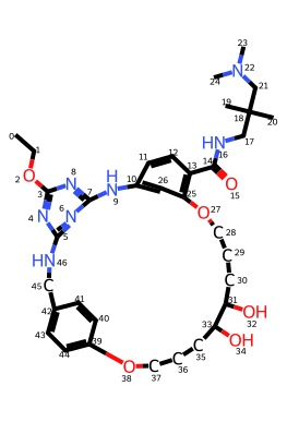 CCOc1nc2nc(n1)Nc1ccc(C(=O)NCC(C)(C)CN(C)C)c(c1)OCCCC(O)C(O)CCCOc1ccc(cc1)CN2